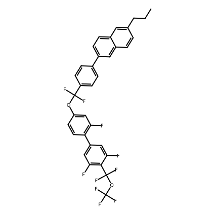 CCCc1ccc2cc(-c3ccc(C(F)(F)Oc4ccc(-c5cc(F)c(C(F)(F)OC(F)(F)F)c(F)c5)c(F)c4)cc3)ccc2c1